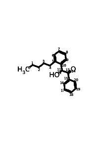 CCCCCc1ccccc1C(O)C(=O)c1ccccc1